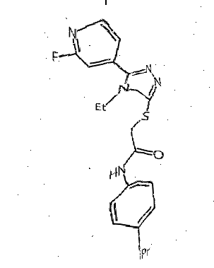 CCn1c(SCC(=O)Nc2ccc(C(C)C)cc2)nnc1-c1ccnc(F)c1